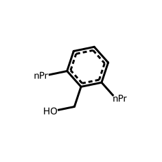 CCCc1cccc(CCC)c1CO